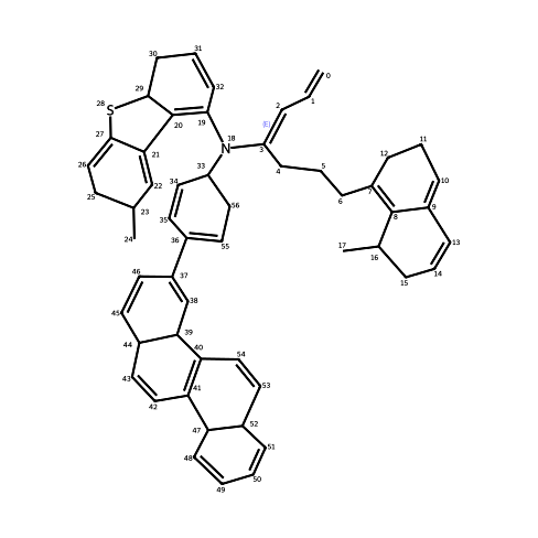 C=C/C=C(\CCCC1=C2C(=CCC1)C=CCC2C)N(C1=C2C3=CC(C)CC=C3SC2CC=C1)C1C=CC(C2=CC3C4=C(C=CC3C=C2)C2C=CC=CC2C=C4)=CC1